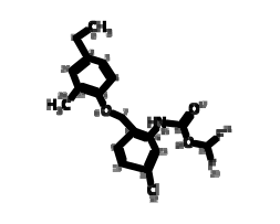 CCc1ccc(OCc2ccc(Cl)cc2NC(=O)OC(F)F)c(C)c1